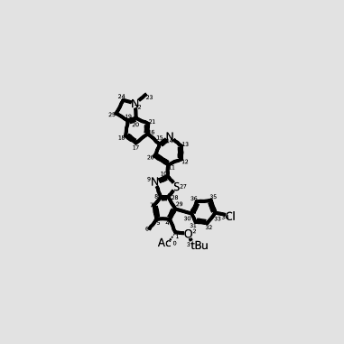 CC(=O)[C@@H](OC(C)(C)C)c1c(C)cc2nc(-c3ccnc(-c4ccc5c(c4)N(C)CC5)c3)sc2c1-c1ccc(Cl)cc1